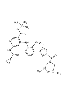 BC(B)(B)NC(=O)c1cnc(NC(=O)C2CC2)cc1Nc1cccc(-c2ncc(C(=O)N3C[C@@H](C)O[C@@H](C)C3)s2)c1OC